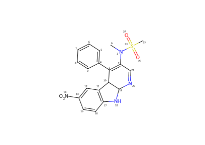 CN(C1=C(c2ccccc2)C2c3cc([N+](=O)[O-])ccc3NC2N=C1)S(C)(=O)=O